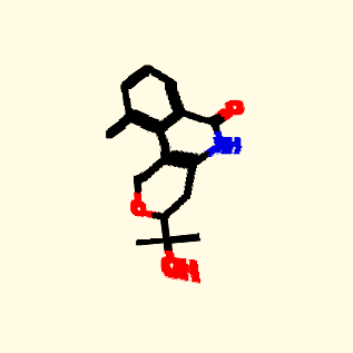 Cc1cccc2c(=O)[nH]c3c(c12)COC(C(C)(C)O)C3